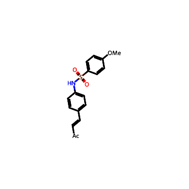 COc1ccc(S(=O)(=O)Nc2ccc(/C=C/C(C)=O)cc2)cc1